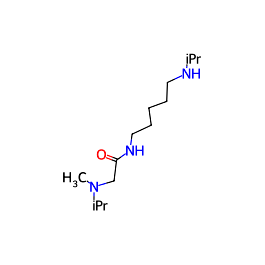 CC(C)NCCCCCNC(=O)CN(C)C(C)C